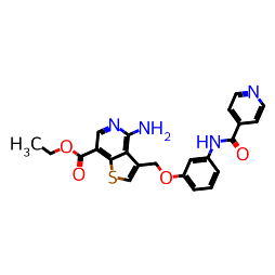 CCOC(=O)c1cnc(N)c2c(COc3cccc(NC(=O)c4ccncc4)c3)csc12